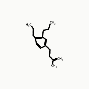 C=C(C)CCc1ccc(CCC)c(CCC)c1